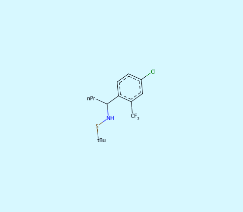 CCCC(NSC(C)(C)C)c1ccc(Cl)cc1C(F)(F)F